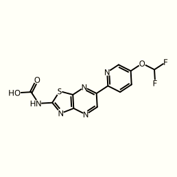 O=C(O)Nc1nc2ncc(-c3ccc(OC(F)F)cn3)nc2s1